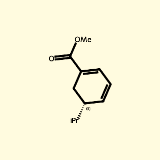 COC(=O)C1=CC=C[C@H](C(C)C)C1